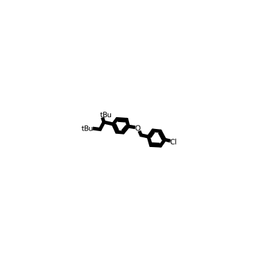 CC(C)(C)CC(c1ccc(OCc2ccc(Cl)cc2)cc1)C(C)(C)C